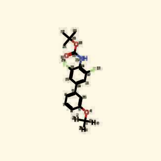 [2H]C([2H])([2H])Oc1cccc(-c2cc(F)c(NC(=O)OC(C)(C)C)c(F)c2)c1